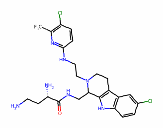 NCC[C@H](N)C(=O)NCC1c2[nH]c3ccc(Cl)cc3c2CCN1CCNc1ccc(Cl)c(C(F)(F)F)n1